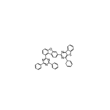 C1=CCC(c2nc(-c3ccc4c(c3)oc3cccc(-c5nc(-c6ccccc6)nc(-c6ccccc6)n5)c34)nc3c2sc2ccccc23)C=C1